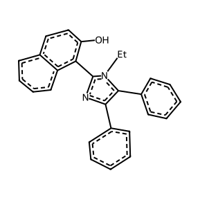 CCn1c(-c2c(O)ccc3ccccc23)nc(-c2ccccc2)c1-c1ccccc1